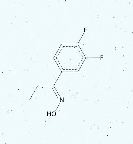 CCC(=NO)c1ccc(F)c(F)c1